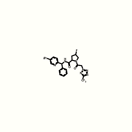 CC(C)c1ccc(C(NC(=O)C2CC(F)CN2C(=O)Cn2nnc(C(F)(F)F)n2)c2ccccc2)nc1